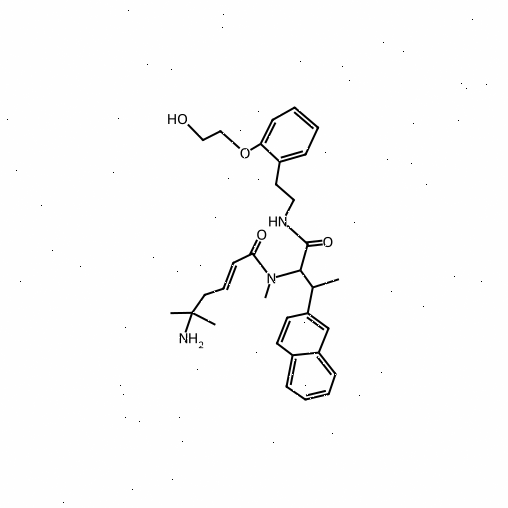 CC(c1ccc2ccccc2c1)C(C(=O)NCCc1ccccc1OCCO)N(C)C(=O)/C=C/CC(C)(C)N